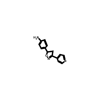 Nc1ccc(C2CC(c3ccncc3)=NO2)cc1